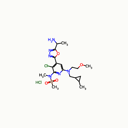 COCCN(CC1CC1C)c1cc(-c2nnc(C(C)N)o2)c(Cl)c(N(C)S(C)(=O)=O)n1.Cl